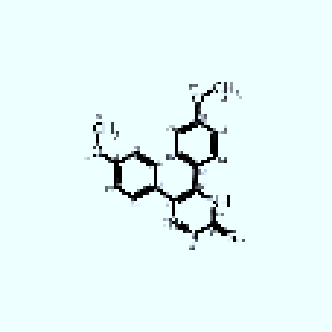 COc1ccc(-c2nnc(=S)[nH]c2-c2ccc(OC)cc2)cc1